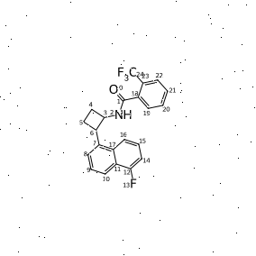 O=C(NC1CCC1c1cccc2c(F)cccc12)c1ccccc1C(F)(F)F